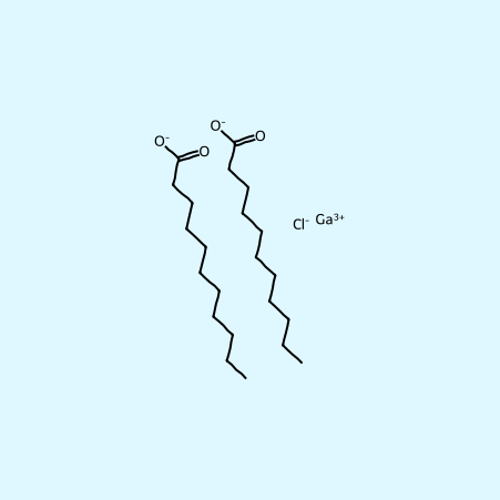 CCCCCCCCCCC(=O)[O-].CCCCCCCCCCC(=O)[O-].[Cl-].[Ga+3]